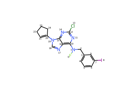 FN(Cc1cccc(I)c1)c1nc(Cl)nc2c1ncn2C1=CCCC1